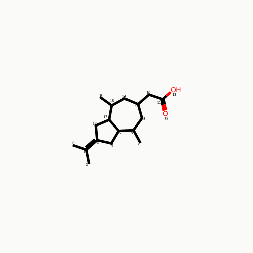 CC(C)=C1CC2C(C)CC(CC(=O)O)CC(C)C2C1